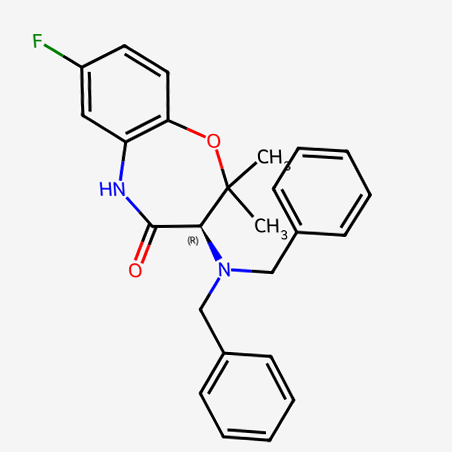 CC1(C)Oc2ccc(F)cc2NC(=O)[C@@H]1N(Cc1ccccc1)Cc1ccccc1